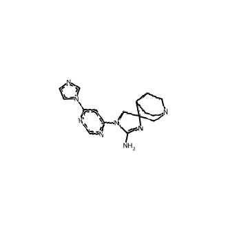 NC1=NC2(CN3CCC2CC3)CN1c1cc(-n2ccnc2)ncn1